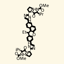 CCC1c2ccc(-c3cnc([C@@H]4CCCN4C(=O)C(NC(=O)OC)C(C)C)[nH]3)cc2Oc2ccc3cc(-c4cnc([C@@H]5CCCN5C(=O)C(NC(=O)OC)C(C)C)[nH]4)ccc3c21